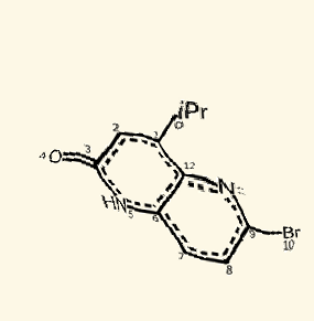 CC(C)c1cc(=O)[nH]c2ccc(Br)nc12